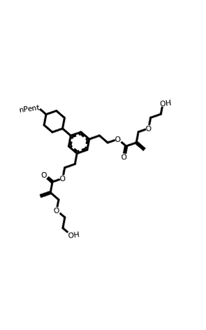 C=C(COCCO)C(=O)OCCc1cc(CCOC(=O)C(=C)COCCO)cc(C2CCC(CCCCC)CC2)c1